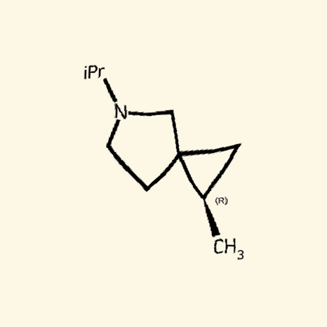 CC(C)N1CCC2(C[C@H]2C)C1